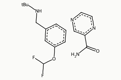 CC(C)(C)NCc1cccc(OC(F)F)c1.NC(=O)c1cnccn1